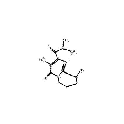 CC1CCCn2c1nc(C(=O)N(C)C)c(O)c2=O